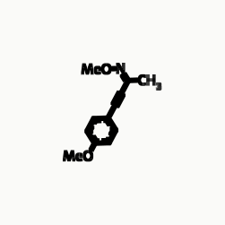 CO/N=C(/C)C#Cc1ccc(OC)cc1